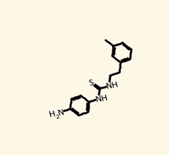 Cc1cccc(CCNC(=S)Nc2ccc(N)cc2)c1